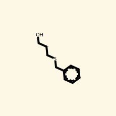 OC[CH]CSCc1ccccc1